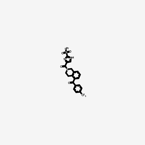 CCCS(=O)(=O)c1nc(C(=O)N2CCc3c(cccc3C(=O)c3ccc(C(F)(F)F)cc3)C2)c[nH]1